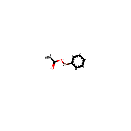 CCCCC(=O)OSc1ccccc1